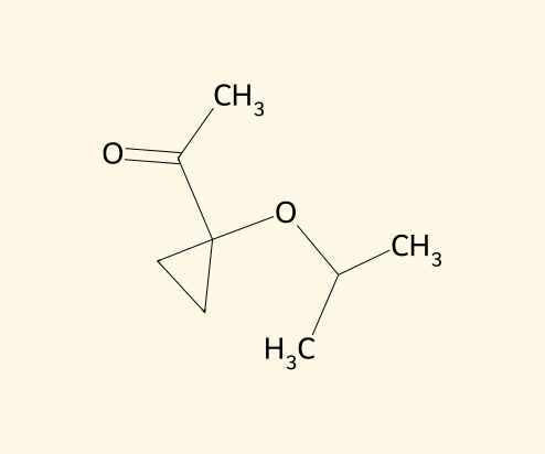 CC(=O)C1(OC(C)C)CC1